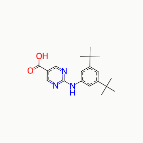 CC(C)(C)c1cc(Nc2ncc(C(=O)O)cn2)cc(C(C)(C)C)c1